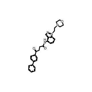 O=C(CCC(=O)c1ccc(-c2ccccc2)cc1)Nc1cccc2c1cnn2CCN1CCOCC1